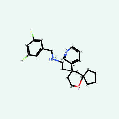 Fc1cc(F)cc(CNCC[C@]2(c3cccnc3)CCOC3(CCCC3)C2)c1